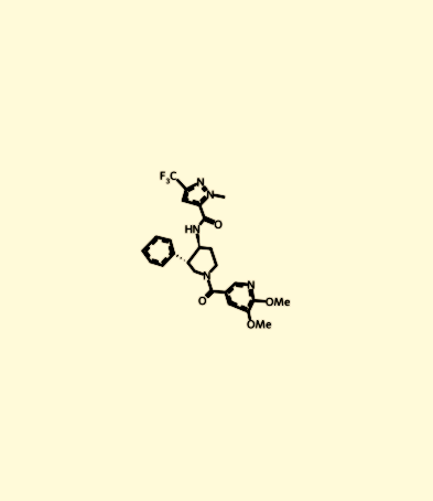 COc1cc(C(=O)N2CC[C@H](NC(=O)c3cc(C(F)(F)F)nn3C)[C@@H](c3ccccc3)C2)cnc1OC